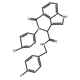 O=C(NCc1ccc(F)cc1)C1c2c[nH]c3cccc(c23)C(=O)N1c1ccc(Cl)cc1